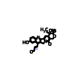 CC[C@@]1(O)C(=O)OCc2c1cc1n(c2=O)Cc2c-1nc1ccc(O)cc1c2/C=C/C=O